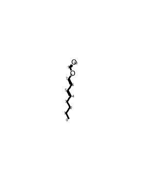 CCCCC=CC=COC=O